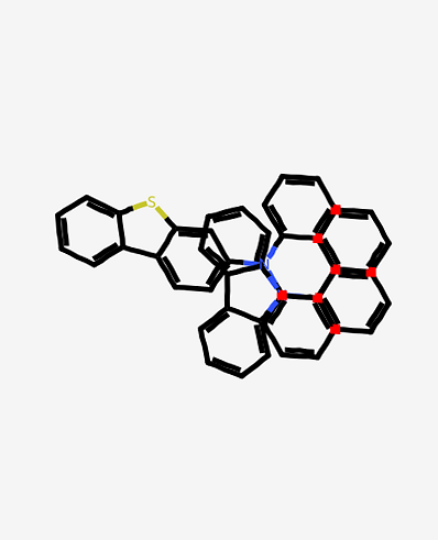 c1ccc(-c2ccccc2N(c2ccc3c(c2)sc2ccccc23)c2ccccc2-c2ccccc2-n2c3ccccc3c3ccccc32)cc1